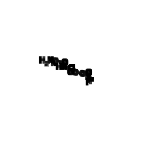 Nc1ccc(/C=C/C(=O)NCCCOc2ccc(-c3ccc(C(=O)N4CC(F)(F)C4)cc3)cc2Cl)cn1